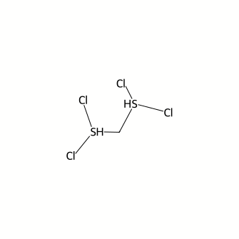 Cl[SH](Cl)C[SH](Cl)Cl